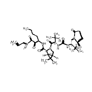 C=CCNC(=O)C(=O)C(CCCC)NC(=O)[C@@H]1[C@@H]2[C@H](CN1C(=O)[C@@H](NC(=O)N[C@H](CN1C(=O)CCC1=O)C(C)(C)C)C(C)(C)C)C2(C)C